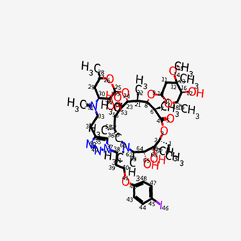 CC[C@H]1OC(=O)[C@H](C)[C@@H](O[C@H]2C[C@@](C)(OC)[C@@H](O)[C@H](C)O2)[C@H](C)[C@@H](O[C@@H]2O[C@H](C)C[C@H](N(C)CCc3cn(CCCOc4ccc(I)cc4)nn3)[C@H]2O)[C@](C)(O)C[C@@H](C)CN(C)[C@H](C)[C@@H](O)[C@]1(C)O